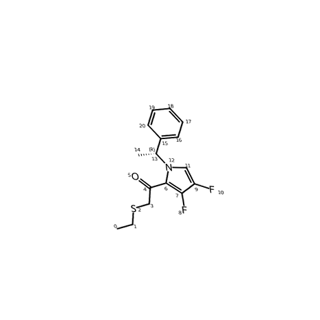 CCSCC(=O)c1c(F)c(F)cn1[C@H](C)c1ccccc1